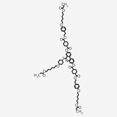 C=CC(=O)OCCCCCCOc1ccc(CCOC(=O)C2CCC(C(=O)Oc3ccc4c(c3)nc(SC3CCC(OCCCCCCOC(=O)C=C)CC3)c3cc(OC(=O)C5CCC(C(=O)OCCc6ccc(OCCCCCCOC(=O)C=C)cc6)CC5)ccc34)CC2)cc1